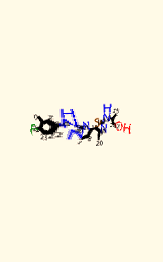 Cc1cc(Nc2nccc(-c3sc(NC(C)CO)nc3C)n2)ccc1F